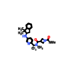 CNC(=O)N1CC(C(=O)N(C)[C@@H](c2ccc(NC3Cc4ccccc4C3(C)C)cn2)C(F)(F)F)C1